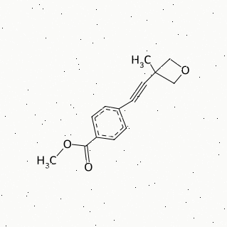 COC(=O)c1ccc(C#CC2(C)COC2)cc1